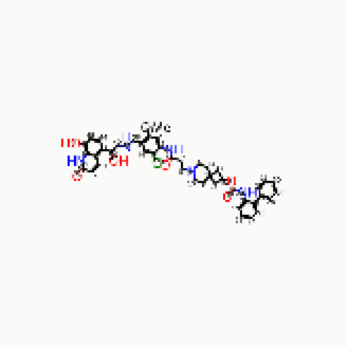 COc1cc(NC(=O)CCN2CCC3(CC2)CC(OC(=O)Nc2ccccc2-c2ccccc2)C3)c(Cl)cc1CNC[C@H](O)c1ccc(O)c2[nH]c(=O)ccc12